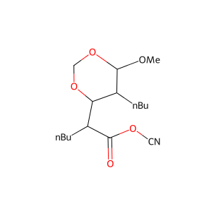 CCCCC(C(=O)OC#N)C1OCOC(OC)C1CCCC